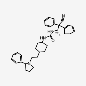 C[C@H](NC(=O)NC1CCC(CCN2CCCC2c2ccccc2)CC1)C(C#N)(c1ccccc1)c1ccccc1